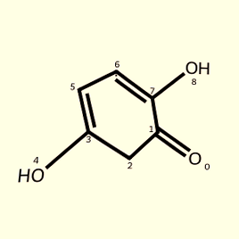 O=C1CC(O)=C[C]=C1O